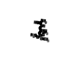 CO[Si](CCCNC(=N)N)(OC)OC.Cl